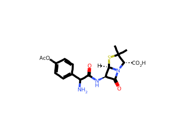 CC(=O)Oc1ccc(C(N)C(=O)N[C@@H]2C(=O)N3[C@@H]2SC(C)(C)[C@@H]3C(=O)O)cc1